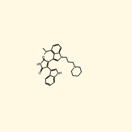 CN(C)c1cccc2c1c(C1=C(c3c[nH]c4ccccc34)C(=O)NC1=O)cn2CCCN1CCCCC1